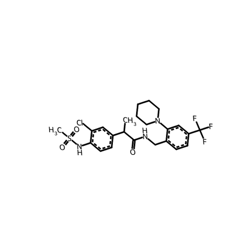 CC(C(=O)NCc1ccc(C(F)(F)F)cc1N1CCCCC1)c1ccc(NS(C)(=O)=O)c(Cl)c1